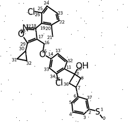 CSc1cccc(C2CC(O)(c3ccc(OCc4c(-c5c(C)cccc5Cl)noc4C4CC4)cc3Cl)C2)c1